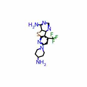 NC1=NC=NC2c3c(C(F)(F)F)cc(N4CCC(N)CC4)nc3SC12